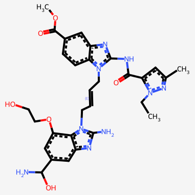 CCn1nc(C)cc1C(=O)Nc1nc2cc(C(=O)OC)ccc2n1C/C=C/Cn1c(N)nc2cc(C(N)O)cc(OCCO)c21